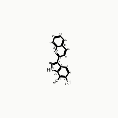 Fc1c(Cl)ccc2c(-c3ccc4ccccc4n3)c[nH]c12